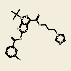 CC(C)(C)n1nc(C(=O)NCCCn2ccnc2)c2sc(NC(=O)c3cccc(Cl)c3)nc21